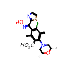 Cc1c(C(=NO)c2nccs2)c(F)c(C)c(N2C[C@@H](C)O[C@@H](C)C2)c1C(=O)O